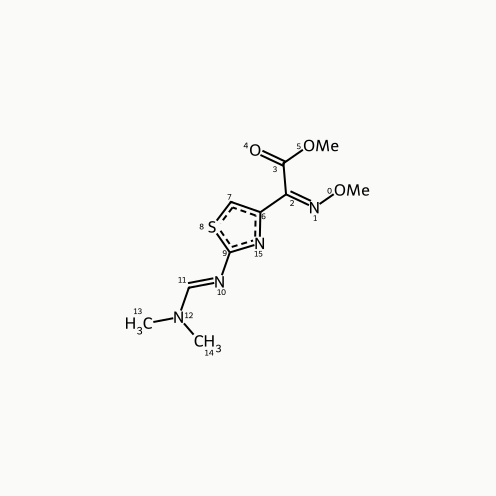 CO/N=C(\C(=O)OC)c1csc(/N=C/N(C)C)n1